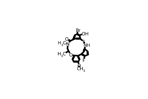 COc1ccc2c(c1)-c1cc(ccc1F)NSc1cc(cc(Br)c1O)C(=O)N(C)CC(C)O2